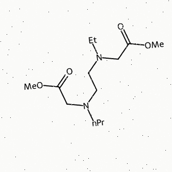 CCCN(CCN(CC)CC(=O)OC)CC(=O)OC